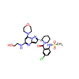 CS(=O)(=O)Nc1ccc(Cl)cc1C(=O)N1CCCC[C@H]1c1cc2nc(NCCO)cc(N3CCOCC3)n2n1